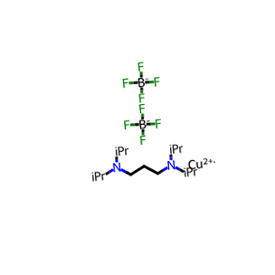 CC(C)N(CCCN(C(C)C)C(C)C)C(C)C.F[B-](F)(F)F.F[B-](F)(F)F.[Cu+2]